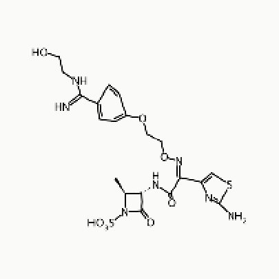 C[C@H]1[C@H](NC(=O)/C(=N\OCCOc2ccc(C(=N)NCCO)cc2)c2csc(N)n2)C(=O)N1S(=O)(=O)O